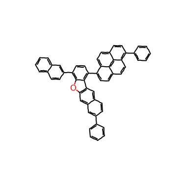 c1ccc(-c2ccc3cc4c(cc3c2)oc2c(-c3ccc5ccccc5c3)ccc(-c3ccc5ccc6c(-c7ccccc7)ccc7ccc3c5c76)c24)cc1